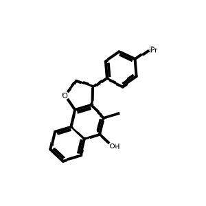 Cc1c2c(c3ccccc3c1O)OCC2c1ccc(C(C)C)cc1